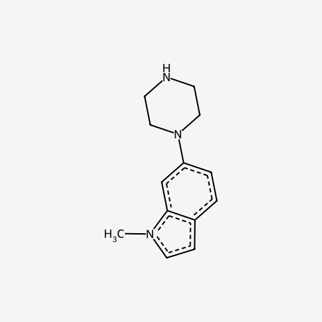 Cn1ccc2ccc(N3CCNCC3)cc21